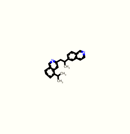 CC(C)c1cccc2cnc(CC(C)c3ccc4cnccc4c3)cc12